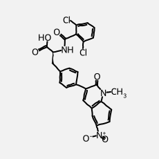 Cn1c(=O)c(-c2ccc(C[C@H](NC(=O)c3c(Cl)cccc3Cl)C(=O)O)cc2)cc2cc([N+](=O)[O-])ccc21